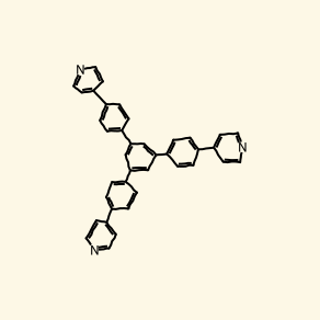 c1cc(-c2ccc(-c3cc(-c4ccc(-c5ccncc5)cc4)cc(-c4ccc(-c5ccncc5)cc4)c3)cc2)ccn1